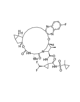 C[C@@H]1[C@@H]2CN(C(=O)[C@H](C(C)(C)C)NC(=O)O[C@@H]3CC4C[C@@H]4[C@H]3CCCCCc3nc4ccc(F)cc4nc3O2)[C@@H]1C(=O)N[C@]1(C(=O)NS(=O)(=O)C2(C)CC2)C[C@H]1C(F)F